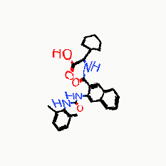 Cc1cccc(C)c1NC(=O)Nc1cc2ccccc2cc1C(=O)N[C@@H](C(=O)O)C1CCCCC1